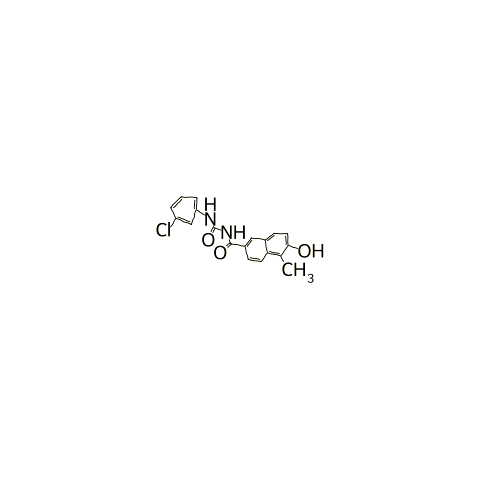 Cc1c(O)ccc2cc(C(=O)NC(=O)Nc3cccc(Cl)c3)ccc12